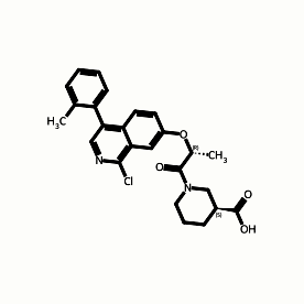 Cc1ccccc1-c1cnc(Cl)c2cc(O[C@H](C)C(=O)N3CCC[C@H](C(=O)O)C3)ccc12